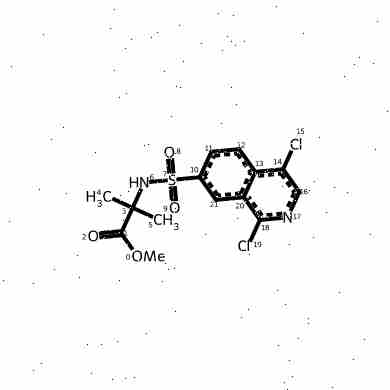 COC(=O)C(C)(C)NS(=O)(=O)c1ccc2c(Cl)cnc(Cl)c2c1